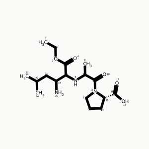 CCOC(=O)C(NC(C)C(=O)N1CCC[C@H]1C(=O)O)C(N)CC(C)C